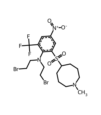 CN1CCCC(S(=O)(=O)c2cc([N+](=O)[O-])cc(C(F)(F)F)c2N(CCBr)CCBr)CCC1